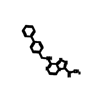 CNc1nnc2c(NCc3ccc(-c4ccccc4)cc3)nccn12